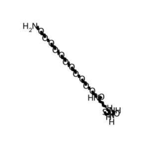 NCCOCCOCCOCCOCCOCCOCCOCCOCCOCCOCCOCCNC(=O)CCCC[C@@H]1SC[C@@H]2NC(=O)N[C@@H]21